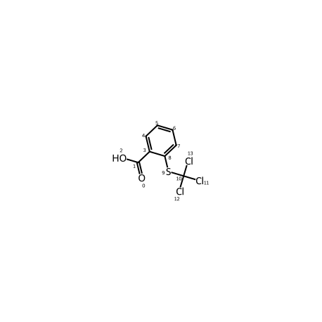 O=C(O)c1ccccc1SC(Cl)(Cl)Cl